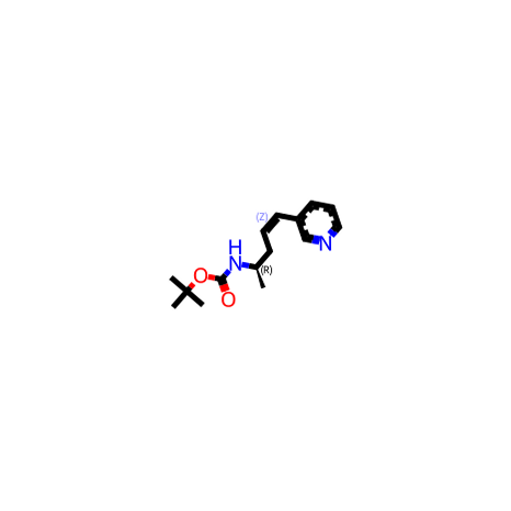 C[C@H](C/C=C\c1cccnc1)NC(=O)OC(C)(C)C